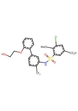 COc1c(Cl)cc(C(=O)O)cc1S(=O)(=O)Nc1cc(-c2ccccc2OCCO)ccc1C(F)(F)F